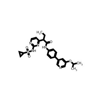 CCC(C(=O)Nc1ccc(-c2cncc(OC(C)C)c2)cc1)c1ccnc(NS(=O)(=O)C2CC2)n1